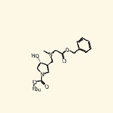 CN(CC(=O)OCc1ccccc1)C[C@H]1CN(C(=O)OC(C)(C)C)C[C@@H]1O